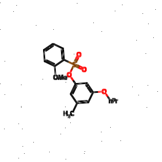 [CH2]CCOc1cc(C)cc(OS(=O)(=O)c2ccccc2OC)c1